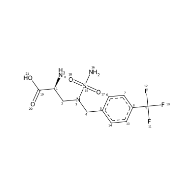 N[C@@H](CN(Cc1ccc(C(F)(F)F)cc1)S(N)(=O)=O)C(=O)O